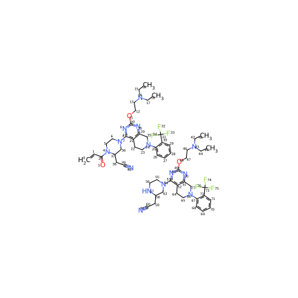 C=CC(=O)N1CCN(c2nc(OCCN(CC)CC)nc3c2CCN(c2ccccc2C(F)(F)F)C3)CC1CC#N.CCN(CC)CCOc1nc2c(c(N3CCNC(CC#N)C3)n1)CCN(c1ccccc1C(F)(F)F)C2